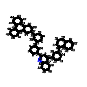 c1cc(-c2cccc(-c3cc(-c4cccc(-c5cccc6ccccc56)c4)c4ccccc4n3)c2)cc(-c2ccc3c4ccccc4c4ccccc4c3c2)c1